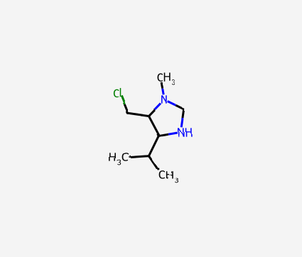 CC(C)C1NCN(C)C1CCl